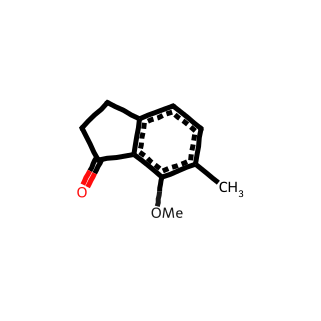 COc1c(C)ccc2c1C(=O)CC2